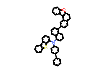 c1ccc(-c2ccc(N(c3cccc4c(-c5ccc6ccc7oc8ccccc8c7c6c5)cccc34)c3cccc4c3sc3ccccc34)cc2)cc1